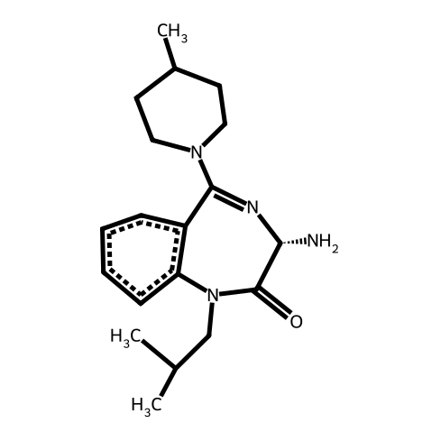 CC(C)CN1C(=O)[C@@H](N)N=C(N2CCC(C)CC2)c2ccccc21